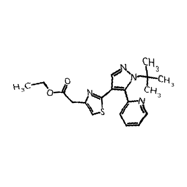 CCOC(=O)Cc1csc(-c2cnn(C(C)(C)C)c2-c2ccccn2)n1